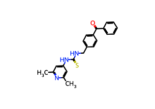 Cc1cc(NC(=S)NCc2ccc(C(=O)c3ccccc3)cc2)cc(C)n1